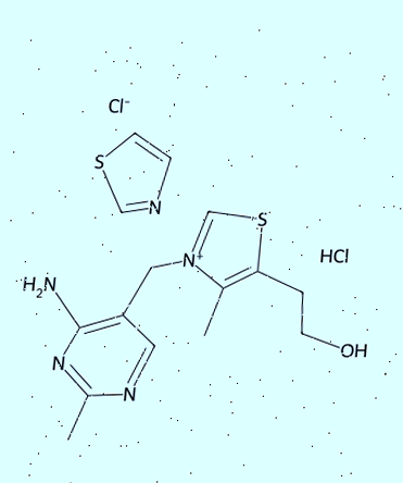 Cc1ncc(C[n+]2csc(CCO)c2C)c(N)n1.Cl.[Cl-].c1cscn1